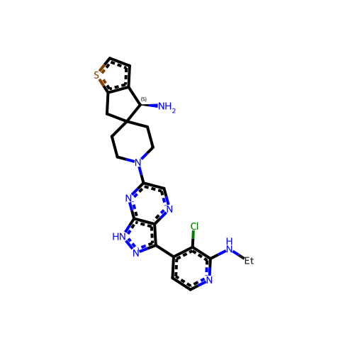 CCNc1nccc(-c2n[nH]c3nc(N4CCC5(CC4)Cc4sccc4[C@H]5N)cnc23)c1Cl